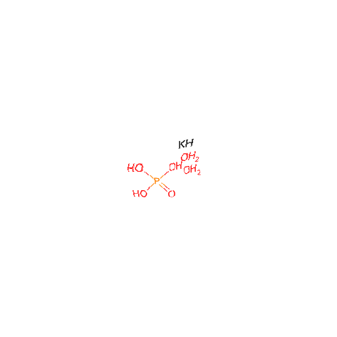 O.O.O=P(O)(O)O.[KH]